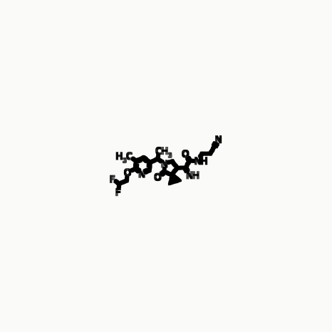 Cc1cc(C(C)N2CC(C(=N)C(=O)NCCC#N)C3(C=C3)C2=O)cnc1OCC(F)F